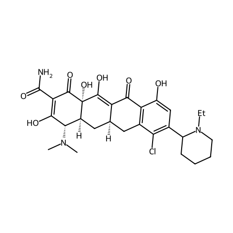 CCN1CCCCC1c1cc(O)c2c(c1Cl)C[C@H]1C[C@H]3[C@H](N(C)C)C(O)=C(C(N)=O)C(=O)[C@@]3(O)C(O)=C1C2=O